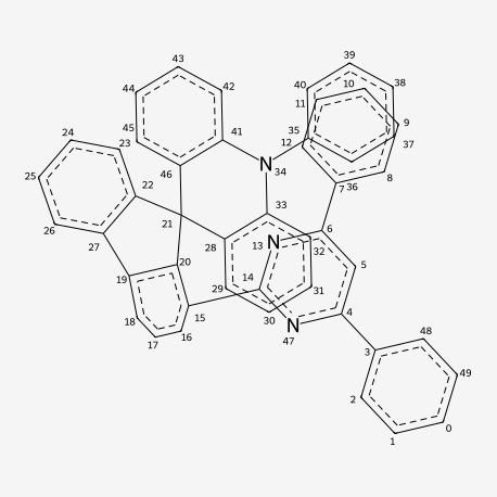 c1ccc(-c2cc(-c3ccccc3)nc(-c3cccc4c3C3(c5ccccc5-4)c4ccccc4N(c4ccccc4)c4ccccc43)n2)cc1